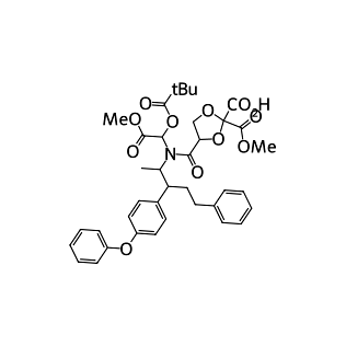 COC(=O)C(OC(=O)C(C)(C)C)N(C(=O)C1COC(C(=O)O)(C(=O)OC)O1)C(C)C(CCc1ccccc1)c1ccc(Oc2ccccc2)cc1